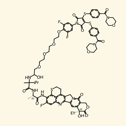 CC[C@@]1(O)C(=O)OCc2c1cc1n(c2=O)Cc2c-1nc1cc(F)c(NC(=O)[C@H](C)NC(=O)C(C)(NC(O)COCCOCCOCCOc3c(F)cc(N4C(=O)C(Sc5ccc(C(=O)N6CCOCC6)cc5)=C(Sc5ccc(C(=O)N6CCOCC6)cc5)C4=O)cc3F)C(C)C)c3c1c2CCS3